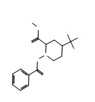 COC(=O)C1CC(C(F)(F)F)CCN1OC(=O)c1ccccc1